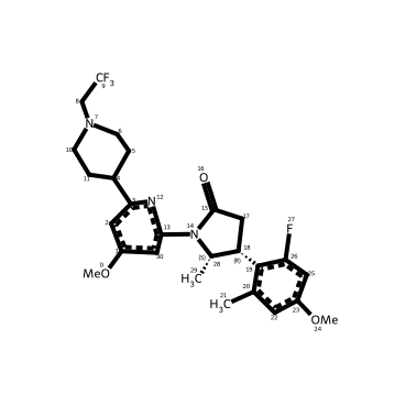 COc1cc(C2CCN(CC(F)(F)F)CC2)nc(N2C(=O)C[C@H](c3c(C)cc(OC)cc3F)[C@@H]2C)c1